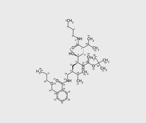 CCCCNC(=O)[C@@H](C[C@H](O)[C@H](C[C@H](CNC(=O)c1ccccc1COCCC)C(C)C)NC(=O)OC(C)(C)C)C(C)C